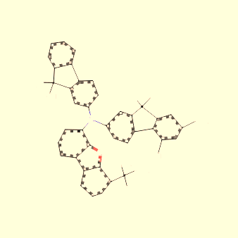 Cc1cc(C)c2c(c1)C(C)(C)c1cc(N(c3ccc4c(c3)C(C)(C)c3ccccc3-4)c3cccc4c3oc3c(C(C)(C)C)cccc34)ccc1-2